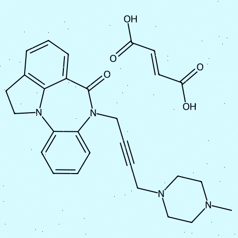 CN1CCN(CC#CCN2C(=O)c3cccc4c3N(CC4)c3ccccc32)CC1.O=C(O)/C=C/C(=O)O